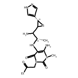 CCC(=O)Cn1c(=O)c(N[C@@H](C)C(N)C2S[C@H]2c2cn[nH]c2)c(N)n(C)c1=O